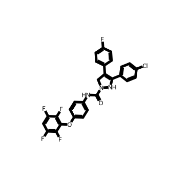 O=C(Nc1ccc(Oc2c(F)c(F)cc(F)c2F)cc1)N1CC(c2ccc(F)cc2)=C(c2ccc(Cl)cc2)N1